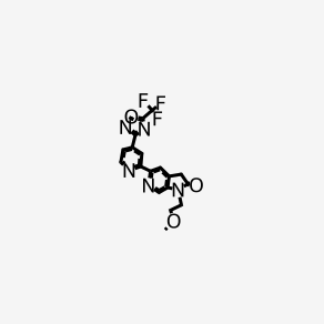 COCCN1C(=O)Cc2cc(-c3cc(-c4noc(C(F)(F)F)n4)ccn3)ncc21